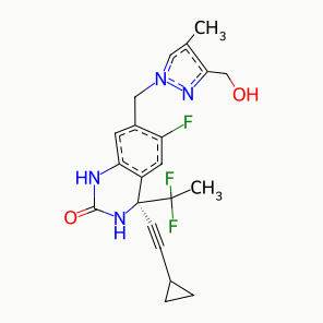 Cc1cn(Cc2cc3c(cc2F)[C@@](C#CC2CC2)(C(C)(F)F)NC(=O)N3)nc1CO